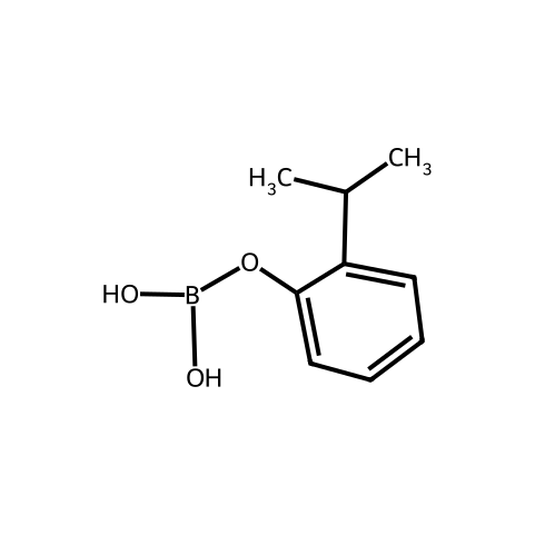 CC(C)c1ccccc1OB(O)O